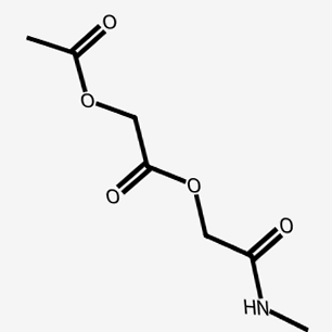 CNC(=O)COC(=O)COC(C)=O